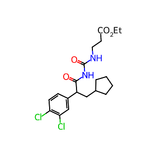 CCOC(=O)CCNC(=O)NC(=O)C(CC1CCCC1)c1ccc(Cl)c(Cl)c1